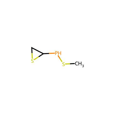 CSPC1CS1